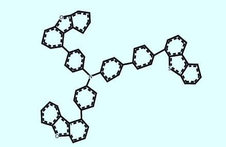 c1ccc2c(c1)oc1cccc(-c3ccc(N(c4ccc(-c5ccc(-c6cccc7c6sc6ccccc67)cc5)cc4)c4ccc(-c5cccc6oc7ccccc7c56)cc4)cc3)c12